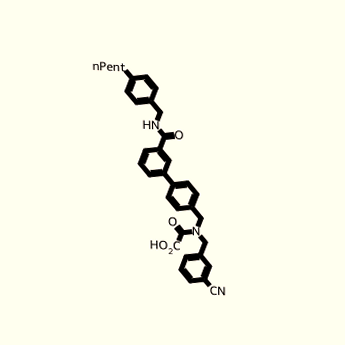 CCCCCc1ccc(CNC(=O)c2cccc(-c3ccc(CN(Cc4cccc(C#N)c4)C(=O)C(=O)O)cc3)c2)cc1